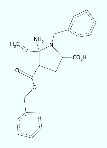 C=CC1(N)C(C(=O)OCc2ccccc2)CC(C(=O)O)N1Cc1ccccc1